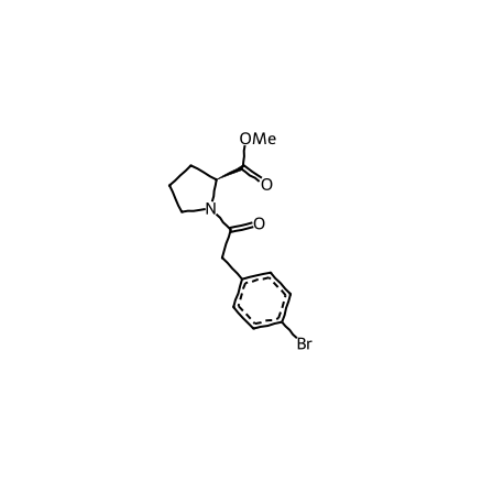 COC(=O)[C@@H]1CCCN1C(=O)Cc1ccc(Br)cc1